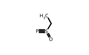 CCS(=O)#P